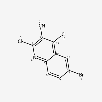 N#Cc1c(Cl)nc2ccc(Br)cc2c1Cl